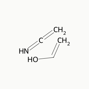 C=C=N.C=CO